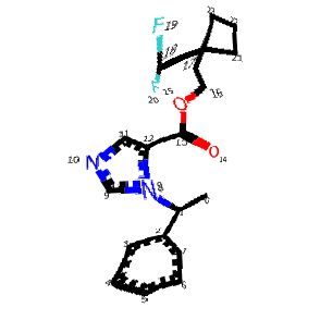 CC(c1ccccc1)n1cncc1C(=O)OCC1(C(F)F)CCC1